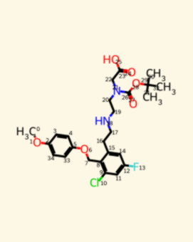 COc1ccc(OCc2c(Cl)cc(F)cc2CCNCCN(CC(=O)O)C(=O)OC(C)(C)C)cc1